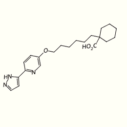 O=C(O)C1(CCCCCCOc2ccc(-c3ccn[nH]3)nc2)CCCCC1